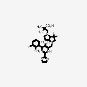 CCOC(=O)C1=C(CN2CC(F)(F)C3C2CCN3CC(C)(C)C(=O)O)NC(c2nccs2)=NC1c1cccc(F)c1C